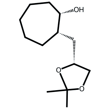 CC1(C)OC[C@@H](C[C@@H]2CCCCC[C@@H]2O)O1